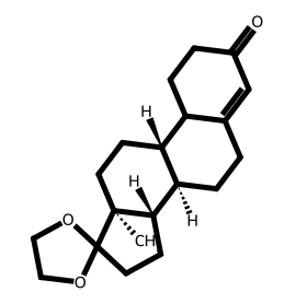 C[C@]12CC[C@@H]3C4CCC(=O)C=C4CC[C@H]3[C@@H]1CCC21OCCO1